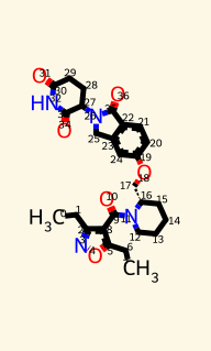 CCc1noc(CC)c1C(=O)N1CCCC[C@H]1COc1ccc2c(c1)CN(C1CCC(=O)NC1=O)C2=O